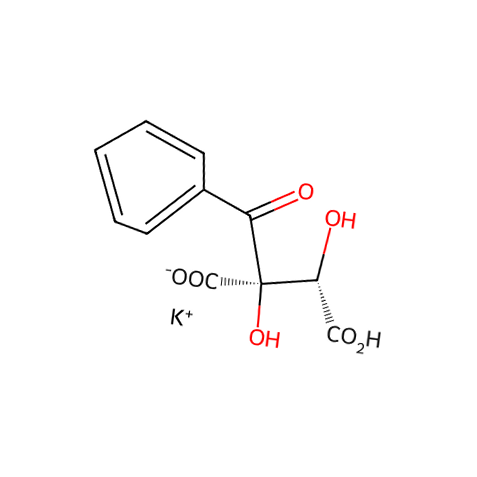 O=C(O)[C@@H](O)[C@](O)(C(=O)[O-])C(=O)c1ccccc1.[K+]